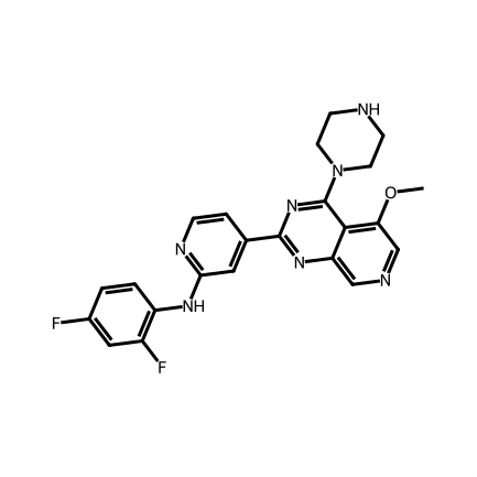 COc1cncc2nc(-c3ccnc(Nc4ccc(F)cc4F)c3)nc(N3CCNCC3)c12